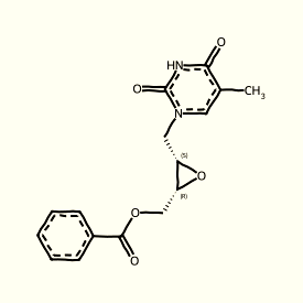 Cc1cn(C[C@@H]2O[C@@H]2COC(=O)c2ccccc2)c(=O)[nH]c1=O